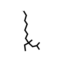 [CH2]CCCCCCC(C)(CC)CC(C)C